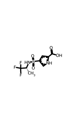 C[C@@H](NS(=O)(=O)c1c[nH]c(C(=O)O)c1)C(F)(F)F